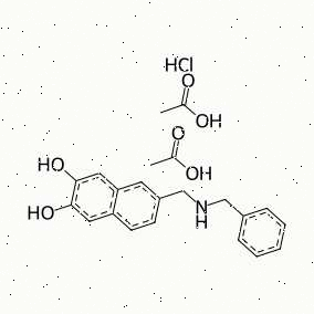 CC(=O)O.CC(=O)O.Cl.Oc1cc2ccc(CNCc3ccccc3)cc2cc1O